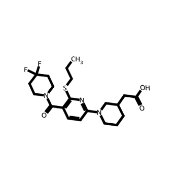 CCCSc1nc(N2CCCC(CC(=O)O)C2)ccc1C(=O)N1CCC(F)(F)CC1